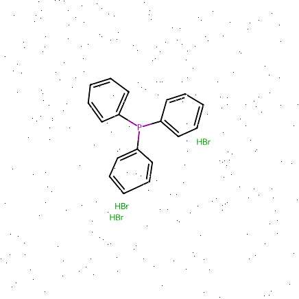 Br.Br.Br.c1ccc(P(c2ccccc2)c2ccccc2)cc1